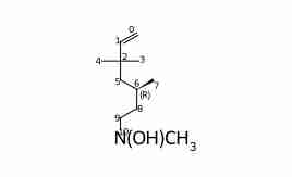 C=CC(C)(C)C[C@@H](C)CCN(C)O